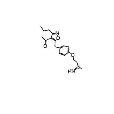 CCCc1noc(Cc2ccc(OCCS(C)=N)cc2)c1C(C)=O